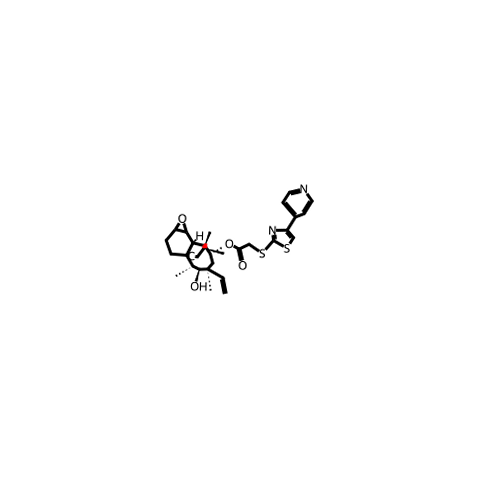 C=C[C@]1(C)C[C@@H](OC(=O)CSc2nc(-c3ccncc3)cs2)[C@]2(C)[C@H](C)CC[C@]3(CCC4OC4[C@H]32)[C@@H](C)[C@@H]1O